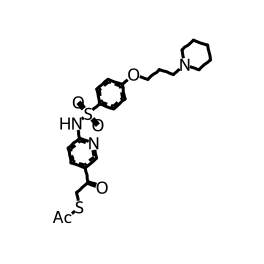 CC(=O)SCC(=O)c1ccc(NS(=O)(=O)c2ccc(OCCCN3CCCCC3)cc2)nc1